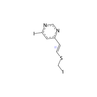 ICS/C=C/c1cc(I)ncn1